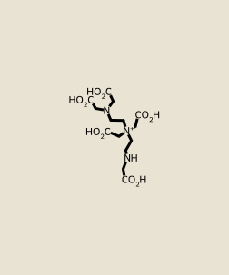 O=C(O)CNCC[N+](CCN(CC(=O)O)CC(=O)O)(CC(=O)O)CC(=O)O